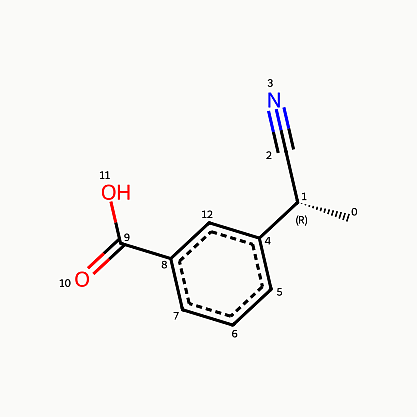 C[C@@H](C#N)c1cccc(C(=O)O)c1